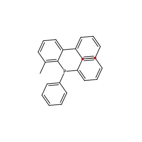 Cc1cccc(-c2ccccc2)c1P(c1ccccc1)c1ccccc1